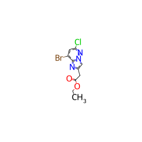 CCOC(=O)Cc1cn2nc(Cl)cc(Br)c2n1